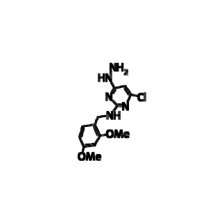 COc1ccc(CNc2nc(Cl)cc(NN)n2)c(OC)c1